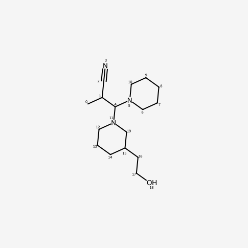 CC(C#N)C(N1CCCCC1)N1CCCC(CCO)C1